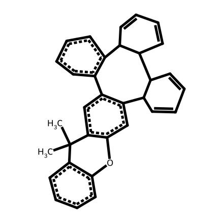 CC1(C)c2ccccc2Oc2cc3c(cc21)-c1ccccc1C1C=CC=CC1C1C=CC=CC31